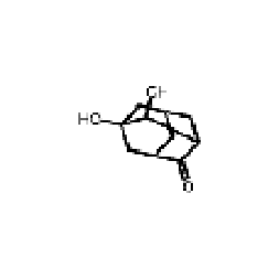 O=C1C2CC3CC1C(O)C(O)(C3)C2